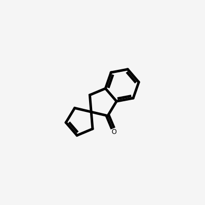 O=C1c2ccccc2CC12CC=CC2